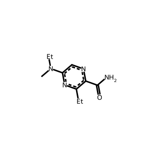 CCc1nc(N(C)CC)cnc1C(N)=O